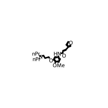 CCCN(CCC)CCCOc1cc(NC(=O)C=Cc2ccoc2)ccc1OC